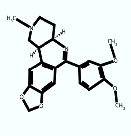 COc1ccc(C2=N[C@@H]3CCN(C)C[C@@H]3c3cc4c(cc32)OCO4)cc1OC